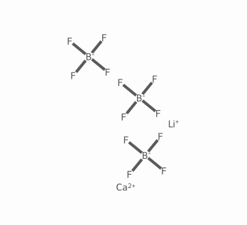 F[B-](F)(F)F.F[B-](F)(F)F.F[B-](F)(F)F.[Ca+2].[Li+]